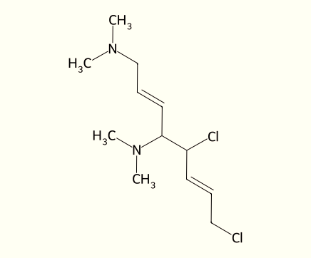 CN(C)CC=CC(C(Cl)C=CCCl)N(C)C